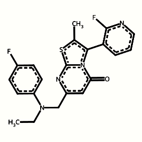 CCN(Cc1cc(=O)n2c(-c3cccnc3F)c(C)sc2n1)c1ccc(F)cc1